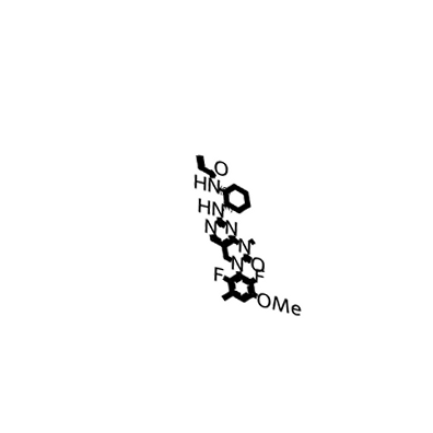 C=CC(=O)N[C@H]1CCCC[C@H]1Nc1ncc2c(n1)N(C)C(=O)N(c1c(F)c(C)cc(OC)c1F)C2